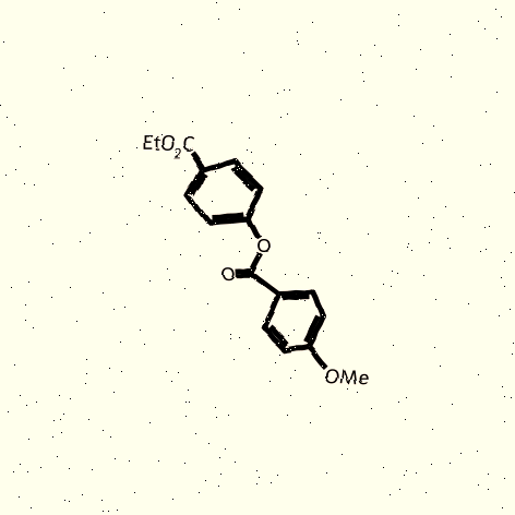 CCOC(=O)c1ccc(OC(=O)c2ccc(OC)cc2)cc1